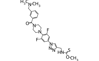 COC(=S)NCc1cn(-c2cc(F)c(N3CCN(C(=O)c4cccc(CN(C)C)c4)CC3)c(F)c2)nn1